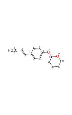 O=C(O)C=Cc1ccc(OC2CCCCO2)cc1